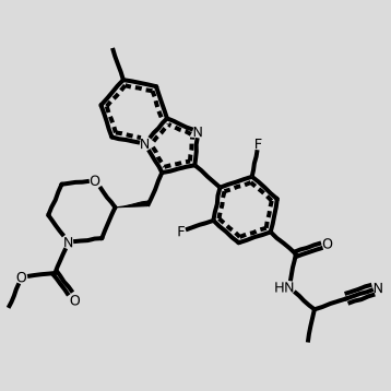 COC(=O)N1CCO[C@@H](Cc2c(-c3c(F)cc(C(=O)NC(C)C#N)cc3F)nc3cc(C)ccn23)C1